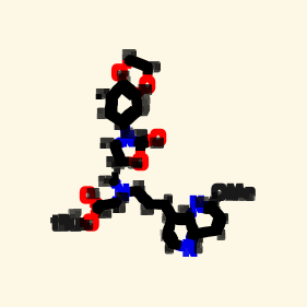 COc1ccc2nccc(CCCN(CC(=O)OC(C)(C)C)C[C@@H]3CN(c4ccc5c(c4)OCCO5)C(=O)O3)c2n1